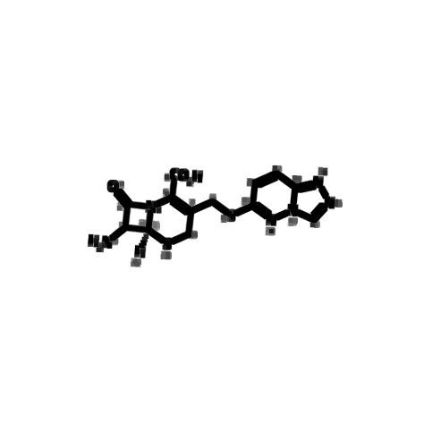 NC1C(=O)N2C(C(=O)O)=C(CSc3ccc4nncn4n3)CS[C@@H]12